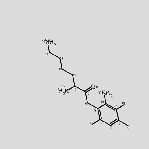 Cc1cc(C)c(CC(=O)C(N)CCCCN)c(N)c1C